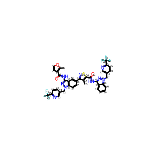 Cc1occc1C(=O)Nc1nn(Cc2ccc(C(F)(F)F)nc2)c2ccc(-c3nsc(C(=O)Nc4nn(Cc5ccc(C(F)(F)F)nc5)c5ccccc45)c3C)cc12